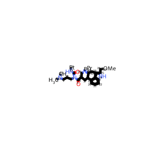 CCCN1CC(C(=O)N(CCCN(C)C)C(=O)NCC)CC2c3cccc4[nH]c(COC)c(c34)C[C@H]21